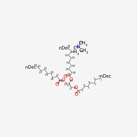 CCCCCCCCCCCCCCCCCC(=O)OCC(COC(=O)CCCCCCCCCCCCCCCCC)OC(=O)CCCCCCCCCCCCCCCCC.CN(C)C